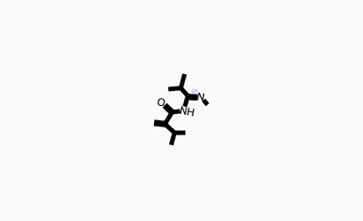 C=C(C(=O)N/C(=N\C)C(C)C)C(C)C